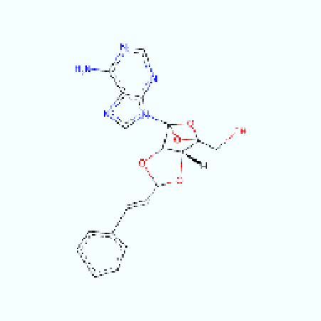 Nc1ncnc2c1ncn2C12OC(CO)(O1)[C@@H]1O[C@H](/C=C/c3ccccc3)OC12